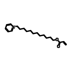 C=CC(=O)OCCCCCCCCCCCC[n+]1ccccc1